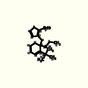 CCSC1(CC2=[C]([SnH])CC=C2)CC=CC=C1C(C)(C)C